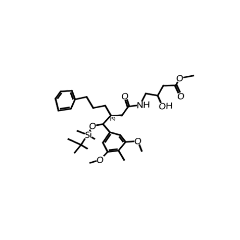 COC(=O)CC(O)CNC(=O)C[C@H](CCCc1ccccc1)C(O[Si](C)(C)C(C)(C)C)c1cc(OC)c(C)c(OC)c1